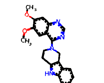 COc1cc2ncnc(N3CCc4[nH]c5ccccc5c4C3)c2cc1OC